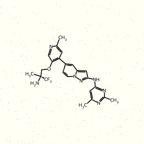 Cc1cc(-c2ccn3nc(Nc4cc(C)nc(C)n4)cc3c2)c(OC[C@@](C)(N)C(F)(F)F)cn1